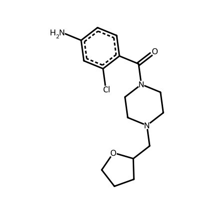 Nc1ccc(C(=O)N2CCN(CC3CCCO3)CC2)c(Cl)c1